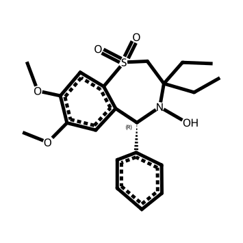 CCC1(CC)CS(=O)(=O)c2cc(OC)c(OC)cc2[C@@H](c2ccccc2)N1O